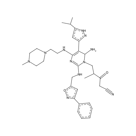 CC(CN1C(NCc2cc(-c3ccccc3)no2)=NC(NCCN2CCN(C)CC2)=C(c2cc(C(C)C)[nH]n2)C1N)C(=O)CC#N